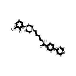 O=C(NCCCCN1CCN(c2cccc(Cl)c2Cl)CC1)c1ccc(-c2ccncn2)cc1